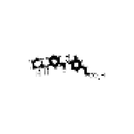 Cc1cc(C=CC(=O)O)ccc1NC(=O)c1cccc(NC2=NCCCN2)c1